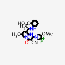 CO[C@@H]1CN(c2nc3c([C@@H](C)Nc4ccccc4C(=O)O)cc(C)cn3c(=O)c2C#N)CC1(F)F